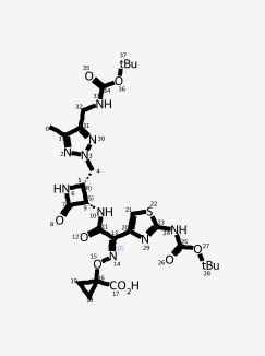 Cc1nn(C[C@H]2NC(=O)[C@H]2NC(=O)/C(=N\OC2(C(=O)O)CC2)c2csc(NC(=O)OC(C)(C)C)n2)nc1CNC(=O)OC(C)(C)C